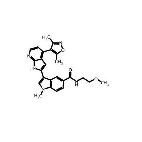 COCCNC(=O)c1ccc2c(c1)c(-c1cc3c(-c4c(C)noc4C)ccnc3[nH]1)cn2C